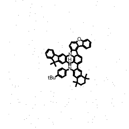 CC(C)(C)c1ccc(Nc2cc3c(cc2-c2ccc4c5c6c(ccc5n5c4c2Bc2cc4c(cc2-5)-c2ccccc2C4(C)C)oc2ccccc26)C(C)(C)CCC3(C)C)cc1